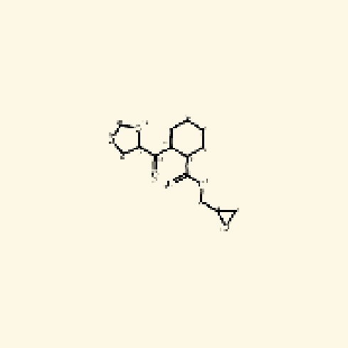 O=C(OCC1CO1)C1CCCCC1C(=O)C1COCO1